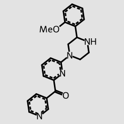 COc1ccccc1C1CN(c2cccc(C(=O)c3cccnc3)n2)CCN1